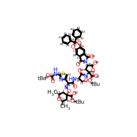 C[C@@H]1CC(O/N=C(\C(=O)N[C@H]2CON(C3(C(=O)OC(C)(C)C)C[C@H](N4C(=O)c5cc6c(cc5C4=O)OC(c4ccccc4)(c4ccccc4)O6)C(=O)O3)C2=O)c2csc(NC(=O)OC(C)(C)C)n2)(C(=O)OC(C)(C)C)C[C@@H](C)O1